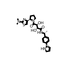 C[C@@H](NC(=O)[C@H](O)[C@@H](O)C(=O)N1CCC[C@@H]1c1csc(N(C)C)n1)c1ccc(N2C=CCN2)cc1